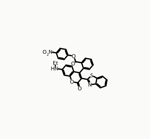 CCNc1ccc2c(-c3ccccc3C(=O)Oc3ccc([N+](=O)[O-])cc3)c(-c3nc4ccccc4s3)c(=O)oc2c1